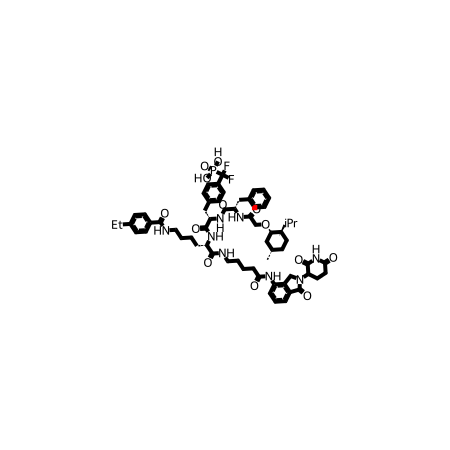 CCc1ccc(C(=O)NCCCC[C@H](NC(=O)[C@H](Cc2ccc(C(F)(F)P(=O)(O)O)cc2)NC(=O)[C@H](Cc2ccccc2)NC(=O)CO[C@H]2C[C@@H](C)CC[C@@H]2C(C)C)C(=O)NCCCCC(=O)Nc2cccc3c2CN(C2CCC(=O)NC2=O)C3=O)cc1